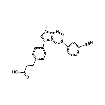 N#Cc1cccc(-c2cnc3[nH]cc(-c4ccc(CCC(=O)O)cc4)c3c2)c1